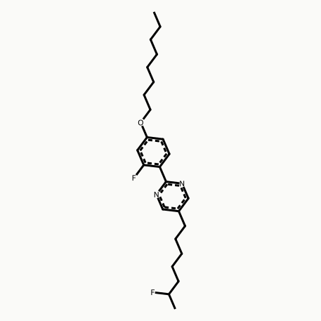 CCCCCCCCOc1ccc(-c2ncc(CCCCCC(C)F)cn2)c(F)c1